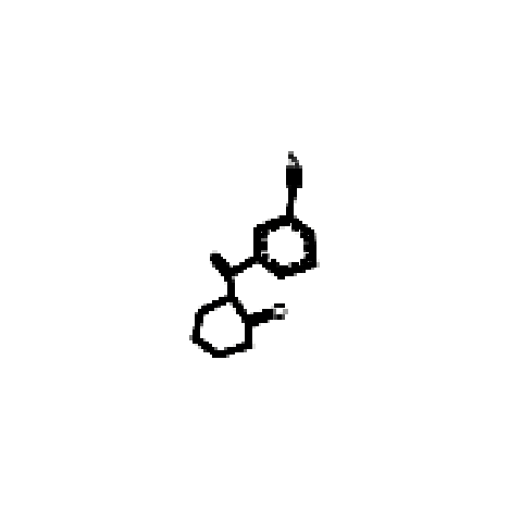 C=C(c1cccc(C#N)c1)C1CCCCC1=O